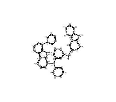 c1ccc(-c2cccc3c2oc2c(N(c4ccccc4)c4cccc(Nc5ccc6sc7ccccc7c6c5)c4)cccc23)cc1